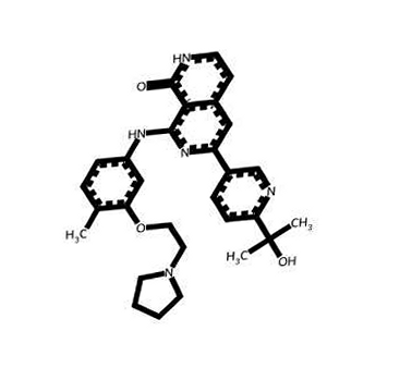 Cc1ccc(Nc2nc(-c3ccc(C(C)(C)O)nc3)cc3cc[nH]c(=O)c23)cc1OCCN1CCCC1